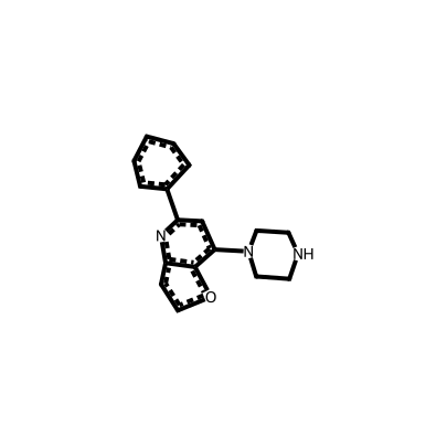 c1ccc(-c2cc(N3CCNCC3)c3occc3n2)cc1